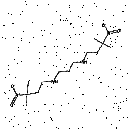 CC(C)(CCNCCCNCCC(C)(C)[N+](=O)[O-])[N+](=O)[O-]